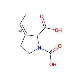 C/C=C1/CCN(C(=O)O)C1C(=O)O